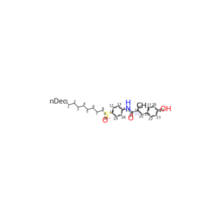 CCCCCCCCCCCCCCCCCC[S+]([O-])c1ccc(NC(=O)/C(C)=C/c2ccc(O)cc2)cc1